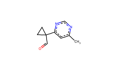 Cc1cc(C2(C=O)CC2)ncn1